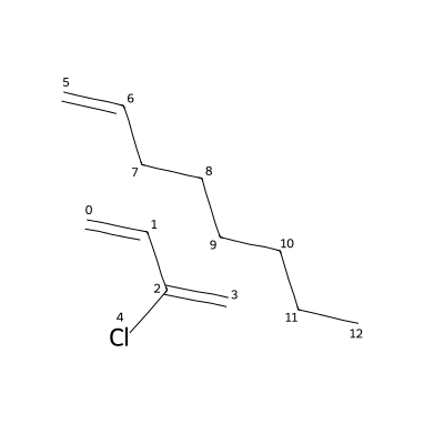 C=CC(=C)Cl.C=CCCCCCC